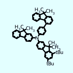 CC(C)(C)c1cc2c(c(C(C)(C)C)c1)C(C)(C)c1cc(N(c3ccc(-c4cccc5c4-c4ccccc4C5(C)C)cc3)c3ccc4c(c3)C(C)(C)c3ccccc3-4)ccc1-2